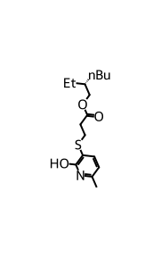 CCCC[C@@H](CC)COC(=O)CCSc1ccc(C)nc1O